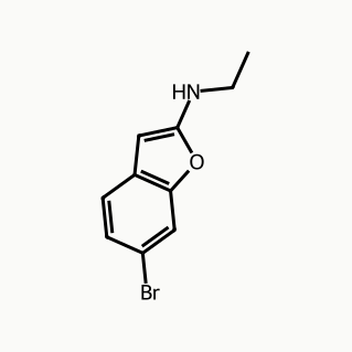 CCNc1cc2ccc(Br)cc2o1